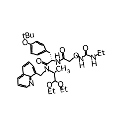 CCNC(=O)NOCC(=O)N[C@@H](Cc1ccc(OC(C)(C)C)cc1)C(=O)N(Cc1cccc2cccnc12)[C@@H](C)C(OCC)OCC